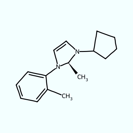 Cc1ccccc1N1C=CN(C2CCCC2)[C@H]1C